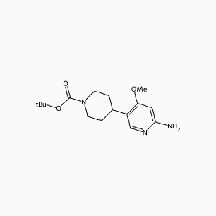 COc1cc(N)ncc1C1CCN(C(=O)OC(C)(C)C)CC1